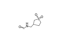 O=[C]NCC1CCS(=O)(=O)C1